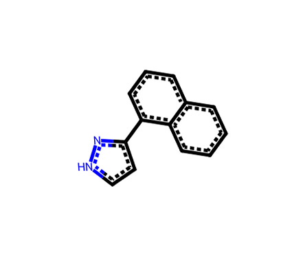 c1ccc2c(-c3cc[nH]n3)cccc2c1